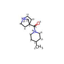 CC1CCN(C(=O)C23CCN(CC2)C3)CC1